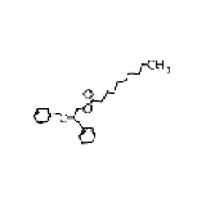 CCCCCCCCCC(=O)OCC(OCc1ccccc1)c1ccccc1